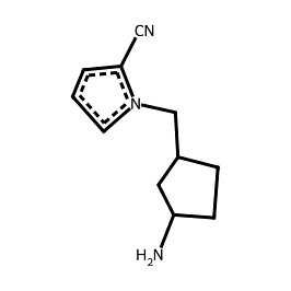 N#Cc1cccn1CC1CCC(N)C1